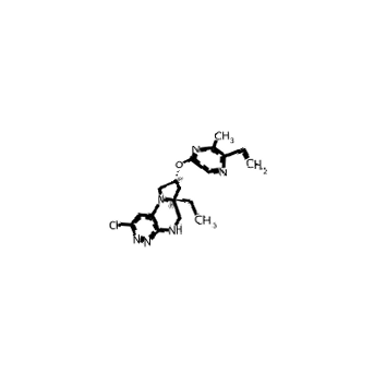 C=Cc1ncc(O[C@H]2CN3c4cc(Cl)nnc4NC[C@@]3(CC)C2)nc1C